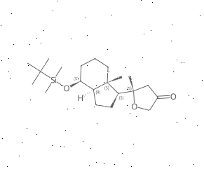 CC(C)(C)[Si](C)(C)O[C@H]1CCC[C@@]2(C)[C@H]1CC[C@@H]2[C@]1(C)CC(=O)CO1